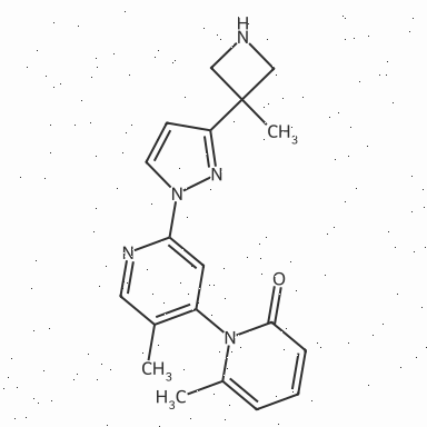 Cc1cnc(-n2ccc(C3(C)CNC3)n2)cc1-n1c(C)cccc1=O